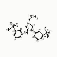 CCC1CC(=Nc2cccc(C(F)(F)F)c2)N(c2cccc(C(F)(F)F)c2)C1